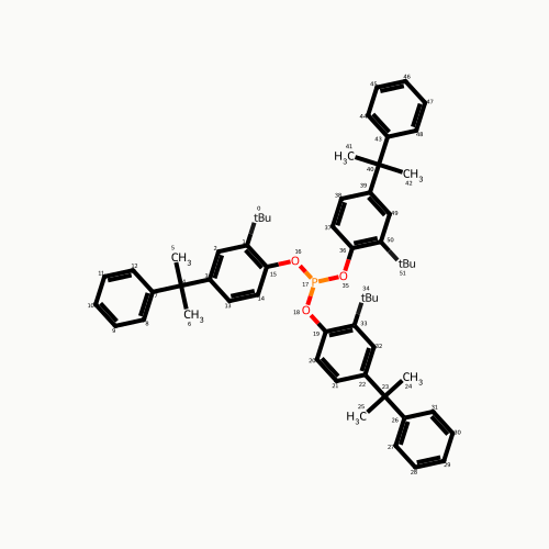 CC(C)(C)c1cc(C(C)(C)c2ccccc2)ccc1OP(Oc1ccc(C(C)(C)c2ccccc2)cc1C(C)(C)C)Oc1ccc(C(C)(C)c2ccccc2)cc1C(C)(C)C